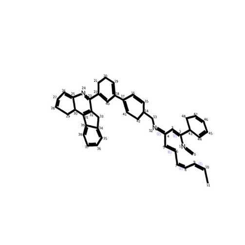 C=N\C(=C/C(/C=C/C=C\C=C/C)=N\CC1C=CC(C2=CCCC(C3=NC4=CC=CCC4C4=C3Cc3ccccc34)=C2)=CC1)C1C=CC=CC1